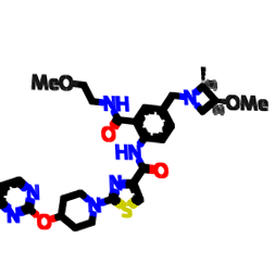 COCCNC(=O)c1cc(CN2C[C@H](OC)[C@H]2C)ccc1NC(=O)c1csc(N2CCC(Oc3ncccn3)CC2)n1